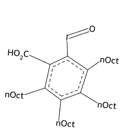 CCCCCCCCc1c(CCCCCCCC)c(CCCCCCCC)c(C(=O)O)c(I=O)c1CCCCCCCC